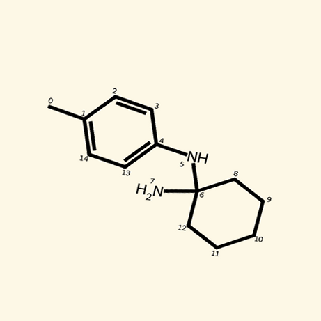 Cc1ccc(NC2(N)CCCCC2)cc1